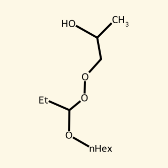 CCCCCCOC(CC)OOCC(C)O